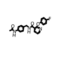 CC(=O)Nc1ccc(CNC(=O)c2cccnc2Oc2ccc(F)cc2)cc1